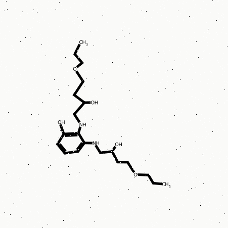 CCCOCCC(O)CNc1cccc(O)c1NCC(O)CCOCCC